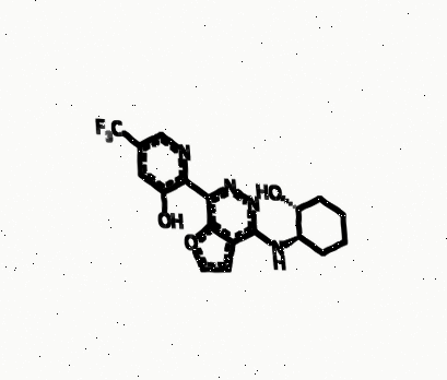 Oc1cc(C(F)(F)F)cnc1-c1nnc(N[C@@H]2CCCC[C@H]2O)c2ccoc12